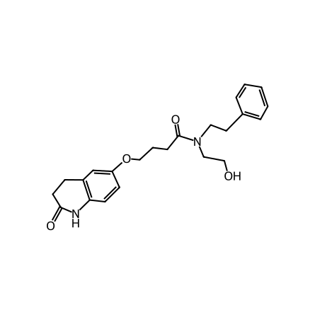 O=C1CCc2cc(OCCCC(=O)N(CCO)CCc3ccccc3)ccc2N1